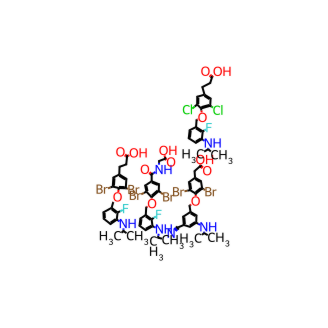 CC(C)Nc1cc(C#N)cc(COc2c(Br)cc(CC(=O)O)cc2Br)c1.CC(C)Nc1cccc(COc2c(Br)cc(C(=O)NCC(=O)O)cc2Br)c1F.CC(C)Nc1cccc(COc2c(Br)cc(CCC(=O)O)cc2Br)c1F.CC(C)Nc1cccc(COc2c(Cl)cc(CCC(=O)O)cc2Cl)c1F